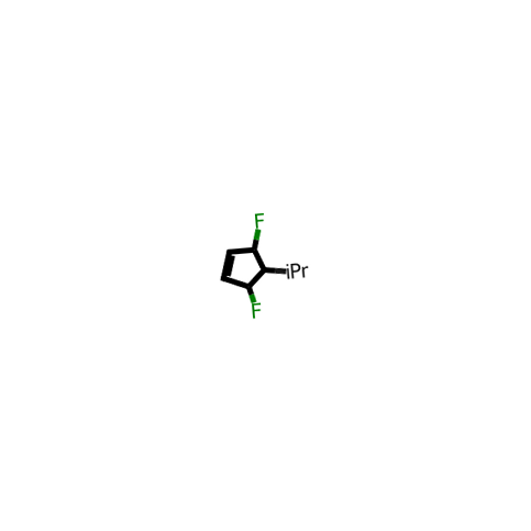 CC(C)C1C(F)C=CC1F